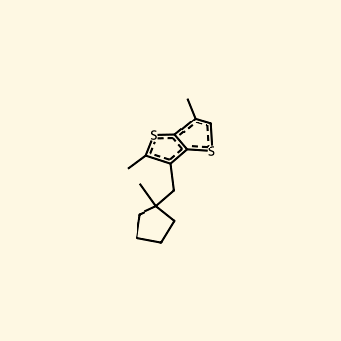 Cc1sc2c(C)csc2c1CC1(C)CCCC1